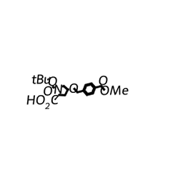 COC(=O)c1ccc(COC2C[C@@H](C(=O)O)N(C(=O)OC(C)(C)C)C2)cc1